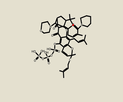 CC(C)=CCCC1(C)C=Cc2c(c(CC=C(C)C)c3c(c2OP(=O)(O)OP(=O)(O)OP(=O)(O)O)C(=O)C2C(N4CCOCC4)C4CC5C(C)(C)OC(C/C=C(/C)C(=O)N6CCCCC6)(C4=O)C25O3)O1